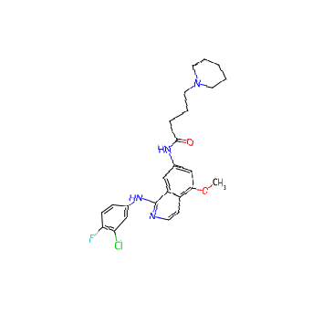 COc1cc(NC(=O)CCCN2CCCCC2)cc2c(Nc3ccc(F)c(Cl)c3)nccc12